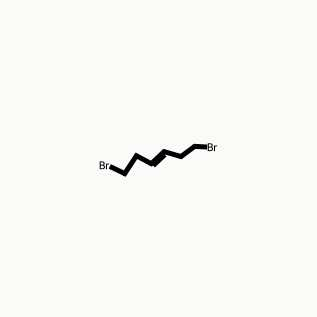 BrCCC=CCCBr